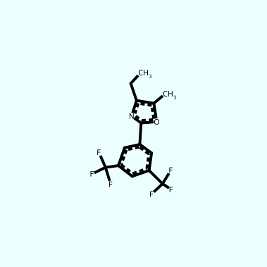 CCc1nc(-c2cc(C(F)(F)F)cc(C(F)(F)F)c2)oc1C